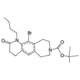 CCCCN1C(=O)CCc2cc3c(c(Br)c21)CCN(C(=O)OC(C)(C)C)CC3